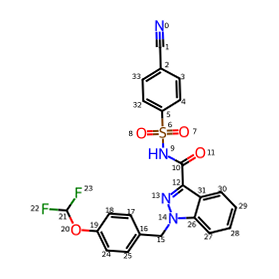 N#Cc1ccc(S(=O)(=O)NC(=O)c2nn(Cc3ccc(OC(F)F)cc3)c3ccccc23)cc1